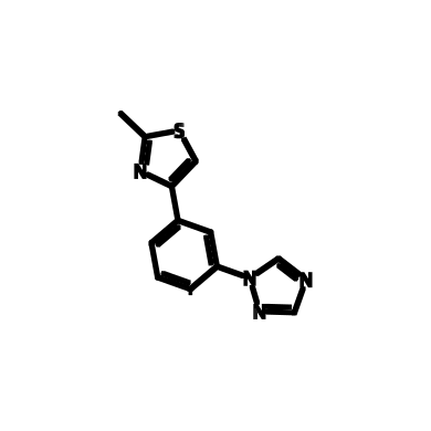 Cc1nc(-c2cc[c]c(-n3cncn3)c2)cs1